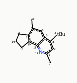 Cc1cc(C(C)(C)C)c2cc(C)c3c(c2n1)CCC3